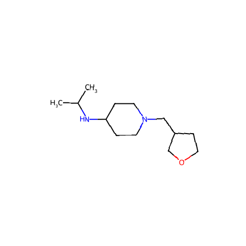 CC(C)NC1CCN(CC2CCOC2)CC1